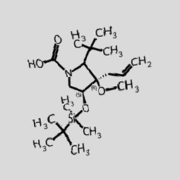 C=CC[C@@]1(OC)C(C(C)(C)C)N(C(=O)O)C[C@@H]1O[Si](C)(C)C(C)(C)C